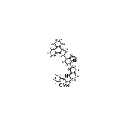 COc1ccccc1-c1ccc2ccc3ccc(-c4ccc(-c5ccc6c7ccccc7c7ccccc7c6c5)c5nsnc45)nc3c2n1